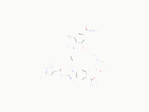 CCn1nc(C)cc1C(=O)Nc1nc2cc(C(N)=O)ccc2n1CC=CCNc1c(OCCCN2CCOCC2)cc(C(N)=O)cc1[N+](=O)[O-]